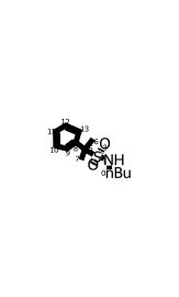 CCCCNS(=O)(=O)C(C)(C)c1ccccc1